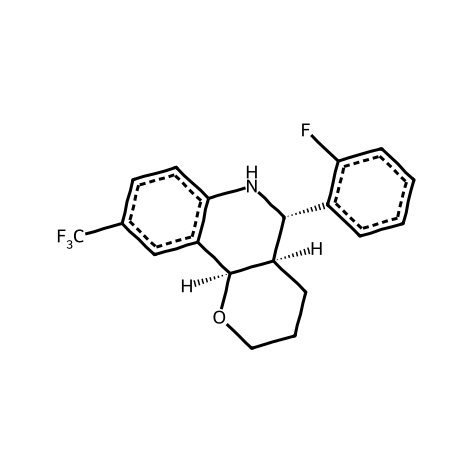 Fc1ccccc1[C@H]1Nc2ccc(C(F)(F)F)cc2[C@@H]2OCCC[C@H]12